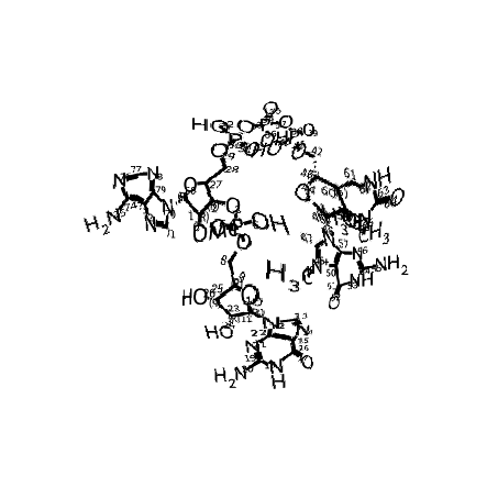 CO[C@@H]1[C@H](OP(=O)(O)OC[C@H]2O[C@@H](n3cnc4c(=O)[nH]c(N)nc43)[C@H](O)[C@@H]2O)C(COP(=O)(O)OP(=O)(O)OP(=O)(O)OC[C@H]2O[C@@H](n3c[n+](C)c4c(=O)[nH]c(N)nc43)[C@H](O)[C@@H]2CNC(=O)N(C)C)O[C@H]1n1cnc2c(N)ncnc21